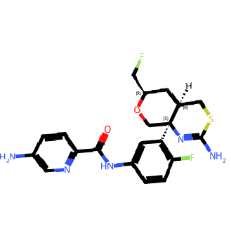 NC1=N[C@@]2(c3cc(NC(=O)c4ccc(N)cn4)ccc3F)CO[C@@H](CF)C[C@H]2CS1